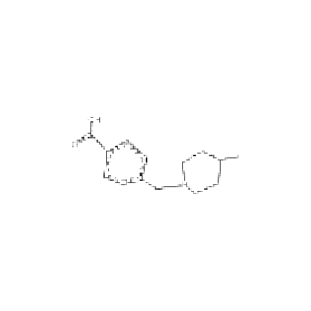 CC1CCN(Cc2ccc(C(=O)O)cc2)CC1